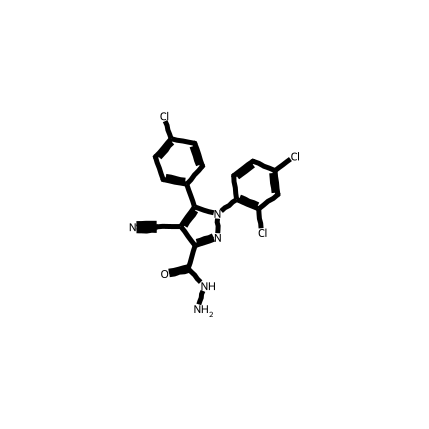 N#Cc1c(C(=O)NN)nn(-c2ccc(Cl)cc2Cl)c1-c1ccc(Cl)cc1